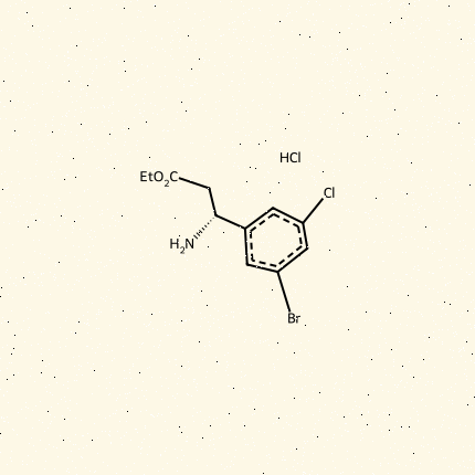 CCOC(=O)C[C@@H](N)c1cc(Cl)cc(Br)c1.Cl